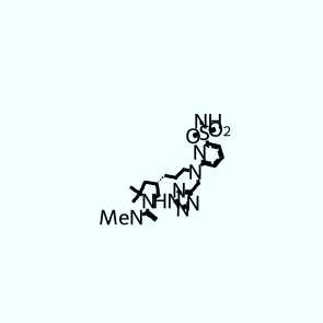 C=C(NC)N1C[C@@H](CCCN(Cc2nn[nH]n2)c2cccc(S(N)(=O)=O)n2)CC1(C)C